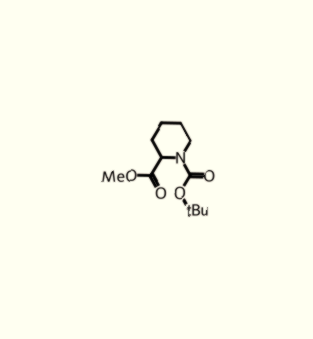 COC(=O)C1CCCCN1C(=O)OC(C)(C)C